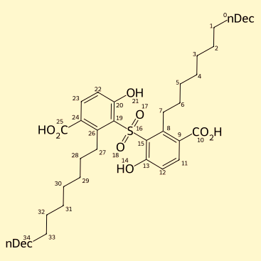 CCCCCCCCCCCCCCCCCc1c(C(=O)O)ccc(O)c1S(=O)(=O)c1c(O)ccc(C(=O)O)c1CCCCCCCCCCCCCCCCC